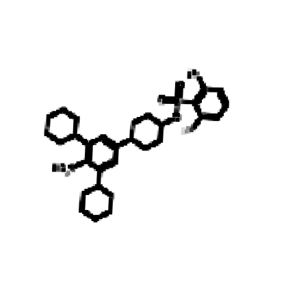 CC(C)c1cccc(C(C)C)c1S(=O)(=O)OC1CCC(c2cc(C3CCCCC3)c(S(=O)(=O)O)c(C3CCCCC3)c2)CC1